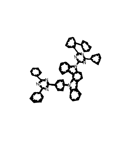 c1ccc(-c2nc(-c3ccccc3)nc(-c3ccc(-n4c5ccccc5c5ccc6c(c7ccccc7n6-c6nc(-c7ccccc7)nc(-c7ccccc7-c7ccccc7)n6)c54)cc3)n2)cc1